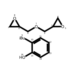 C(OCC1CO1)C1CO1.CCC(C)c1ccccc1O